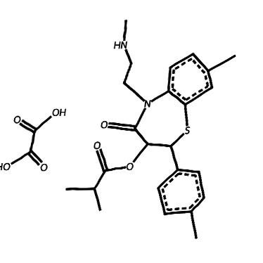 CNCCN1C(=O)C(OC(=O)C(C)C)C(c2ccc(C)cc2)Sc2cc(C)ccc21.O=C(O)C(=O)O